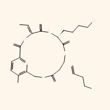 C/C=C1\NC(=O)c2ccc(F)c(n2)CNC(=O)C[C@@H](/C=C/CCS)OC(=O)[C@H](CCCCN)NC1=O